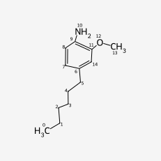 CCCCCCc1ccc(N)c(OC)c1